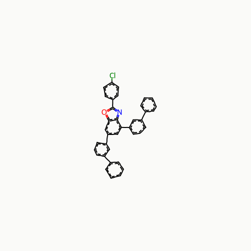 Clc1ccc(-c2nc3c(-c4cccc(-c5ccccc5)c4)cc(-c4cccc(-c5ccccc5)c4)cc3o2)cc1